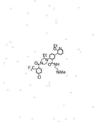 CCOc1ncccc1-c1ccc(N2CCN(C(=O)c3ccc(Cl)cc3C(F)(F)F)C[C@H]2CC)c(C(=O)NCCNC)c1